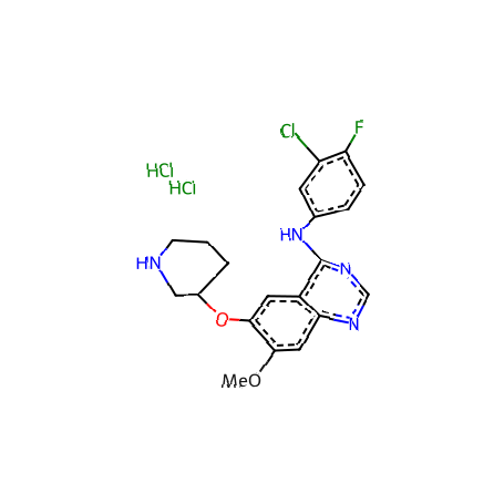 COc1cc2ncnc(Nc3ccc(F)c(Cl)c3)c2cc1OC1CCCNC1.Cl.Cl